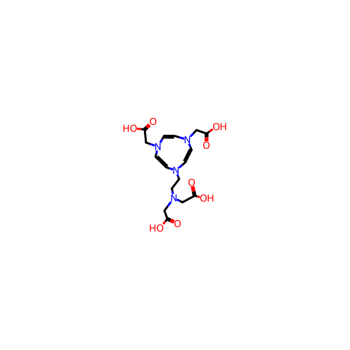 O=C(O)CN1C=CN(CCN(CC(=O)O)CC(=O)O)C=CN(CC(=O)O)C=C1